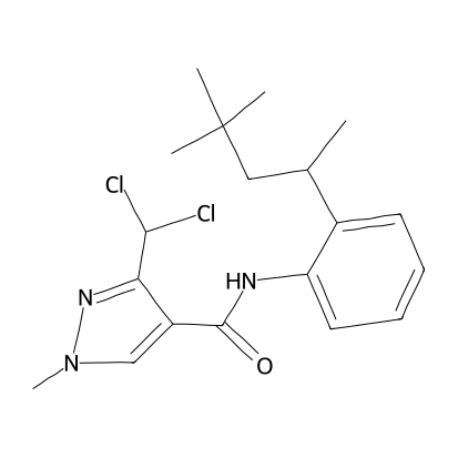 CC(CC(C)(C)C)c1ccccc1NC(=O)c1cn(C)nc1C(Cl)Cl